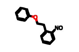 O=Nc1ccccc1CCOc1ccccc1